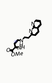 COC(=O)C(=N)/C=C\NCCc1ccc2cccnc2n1